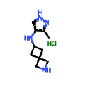 Cc1n[nH]cc1NC1CC2(CNC2)C1.Cl